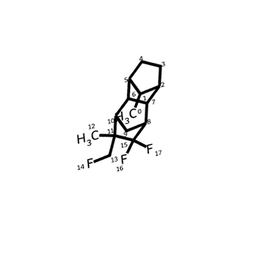 CC1C2CCC1C1C2C2CC1C(C)(CF)C2(F)F